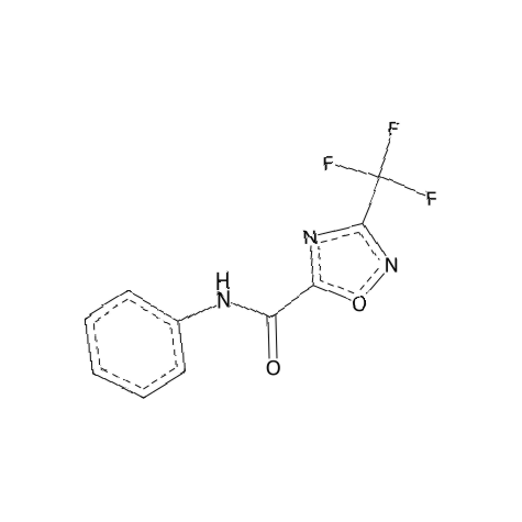 O=C(Nc1ccccc1)c1nc(C(F)(F)F)no1